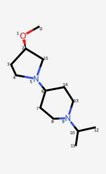 CO[C@@H]1CCN(C2CCN(C(C)C)CC2)C1